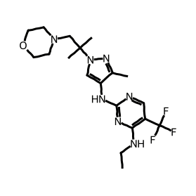 CCNc1nc(Nc2cn(C(C)(C)CN3CCOCC3)nc2C)ncc1C(F)(F)F